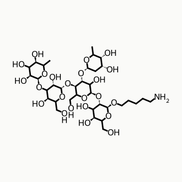 CC1O[C@@H](OC2[C@H](O)C(CO)O[C@@H](O[C@@H]3C(CO)O[C@H](O[C@H]4C(O)[C@H](O)C(CO)O[C@@H]4OCCCCCN)C(O)[C@H]3O[C@H]3C[C@@H](O)[C@@H](O)C(C)O3)[C@H]2O)[C@@H](O)C(O)[C@H]1O